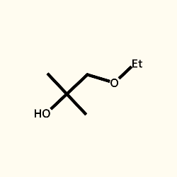 CCOCC(C)(C)O